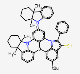 CC(C)(C)c1cc2c3c(c1)c(S)c(-c1ccccc1)n3-c1cc(N3c4ccccc4C4(C)CCCCC34C)cc3c1B2c1cccc2c1N3C1(C)CCCCC21C